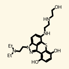 CCN(CC)CCn1nc2c3c(c(NCCNCCO)ccc31)Sc1c(O)ccc(O)c1-2